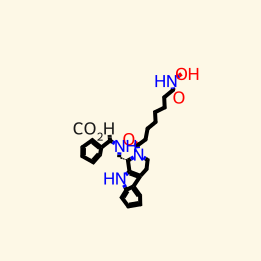 O=C(CCCCCCC(=O)N1CCc2c([nH]c3ccccc23)[C@@H]1CNC(C(=O)O)c1ccccc1)NO